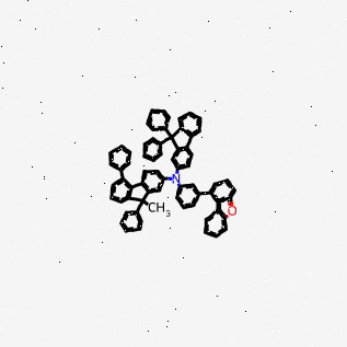 CC1(c2ccccc2)c2cc(N(c3cccc(-c4cccc5oc6ccccc6c45)c3)c3ccc4c(c3)C(c3ccccc3)(c3ccccc3)c3ccccc3-4)ccc2-c2c(-c3ccccc3)cccc21